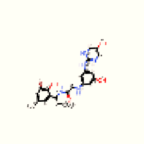 CC(C)(C)c1cc(Br)c(O)c(C(CC(=O)O)NC(=O)CNc2cc(O)cc(NC3=NCC(O)CN3)c2)c1